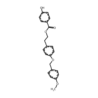 COc1ccc(COc2ccc(CCOC(=O)c3ccc(O)cc3)cc2)cc1